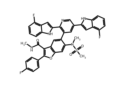 CNC(=O)c1c(-c2ccc(F)cc2)oc2cc(N(C)S(C)(=O)=O)c(-c3cc(-c4cc5c(F)cccc5[nH]4)cnc3-c3cc4c(F)cccc4[nH]3)cc12